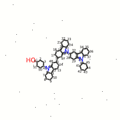 Oc1ccc(-n2c3ccccc3c3ccc(-c4ccc5c6ccccc6n(-c6ccc7c(c6)c6ccccc6n7-c6ccccc6)c5c4)cc32)cc1